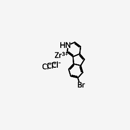 Brc1ccc2c3[c]([Zr+3])[nH]ccc-3cc2c1.[Cl-].[Cl-].[Cl-]